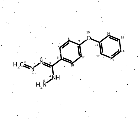 C=N/N=C(\NN)c1ccc(Oc2ccccc2)cc1